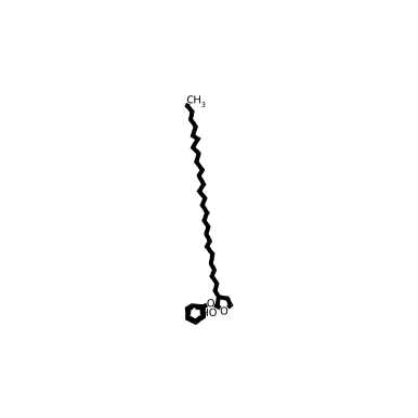 CCCCCCCCCCCCCCCCCCCCCCCCCCCCC1CCOC1(O)Oc1ccccc1